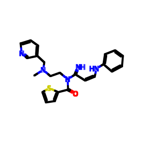 CN(CCN(C(=N)/C=C\Nc1ccccc1)C(=O)c1cccs1)Cc1cccnc1